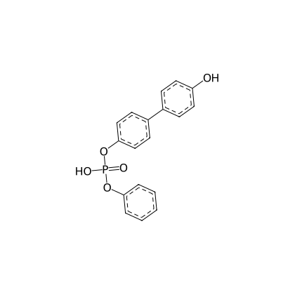 O=P(O)(Oc1ccccc1)Oc1ccc(-c2ccc(O)cc2)cc1